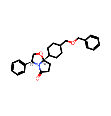 O=C1CC[C@@]2(C3CCC(COCc4ccccc4)CC3)OC[C@H](c3ccccc3)N12